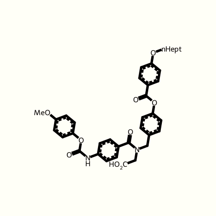 CCCCCCCOc1ccc(C(=O)Oc2ccc(CN(CC(=O)O)C(=O)c3ccc(NC(=O)Oc4ccc(OC)cc4)cc3)cc2)cc1